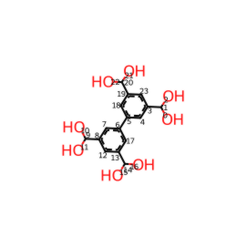 OC(O)c1cc(-c2cc(C(O)O)cc(C(O)O)c2)cc(C(O)O)c1